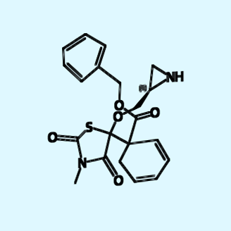 CN1C(=O)SC(OC[C@H]2CN2)(C2(C(=O)OCc3ccccc3)C=CC=CC2)C1=O